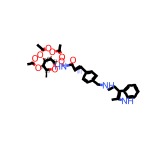 CC(=O)O[C@H]1[C@H](OC(C)=O)[C@H](ONC(=O)/C=C/c2ccc(CNCCc3c(C)[nH]c4ccccc34)cc2)O[C@@H](C)[C@H]1OC(C)=O